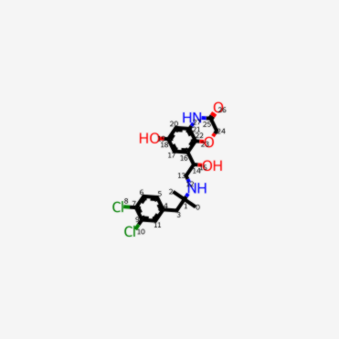 CC(C)(Cc1ccc(Cl)c(Cl)c1)NCC(O)c1cc(O)cc2c1OCC(=O)N2